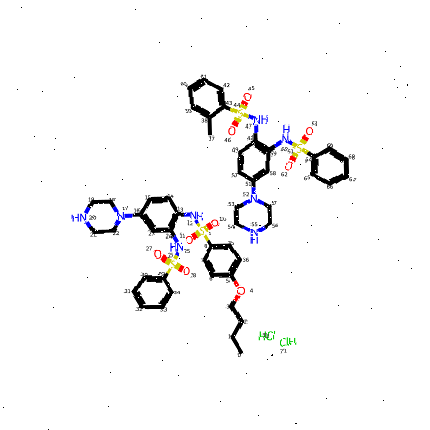 CCCCOc1ccc(S(=O)(=O)Nc2ccc(N3CCNCC3)cc2NS(=O)(=O)c2ccccc2)cc1.Cc1ccccc1S(=O)(=O)Nc1ccc(N2CCNCC2)cc1NS(=O)(=O)c1ccccc1.Cl.Cl